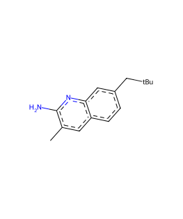 Cc1cc2ccc(CC(C)(C)C)cc2nc1N